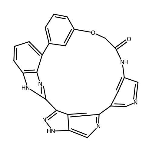 O=C1COc2cccc(c2)-c2cccc3[nH]c(nc23)-c2n[nH]c3cnc(cc23)-c2cncc(c2)N1